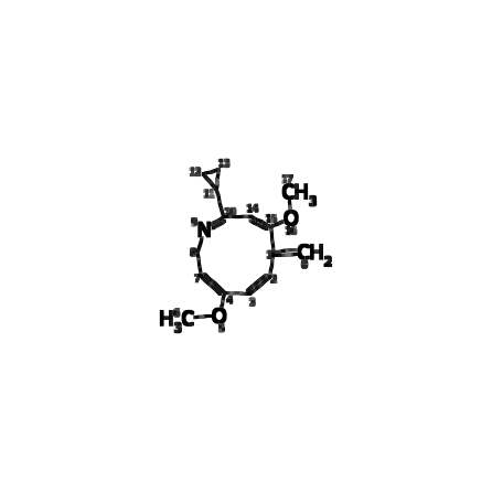 C=C1/C=C\C(OC)=C/C/N=C(C2CC2)\C=C/1OC